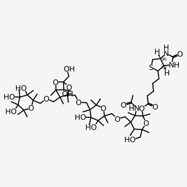 CC(=O)NC1(C)C(C)(OC(=O)CCCCC2SC[C@@H]3NC(=O)N[C@H]23)OC(C)(CO)C(C)C1(C)COCC1(C)OC(C)(C)C(C)(COCC2(C)OC3(CO)OC(C)(C3(C)O)C2(C)COCC2(C)OC(C)(C)C(C)(O)C(C)(O)C2(C)O)C(C)(O)C1(C)O